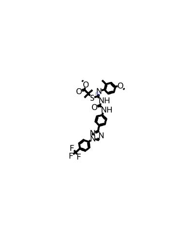 COC(=O)C(C)(C)S/C(=N/c1ccc(OC)cc1C)NC(=O)Nc1ccc(-c2ncn(-c3ccc(C(F)(F)F)cc3)n2)cc1